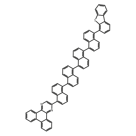 c1ccc2c(c1)sc1c(-c3cccc4c(-c5cccc6c(-c7cccc8c(-c9cccc%10c(-c%11cnc%12c%13ccccc%13c%13ccccc%13c%12n%11)cccc9%10)cccc78)cccc56)cccc34)cccc12